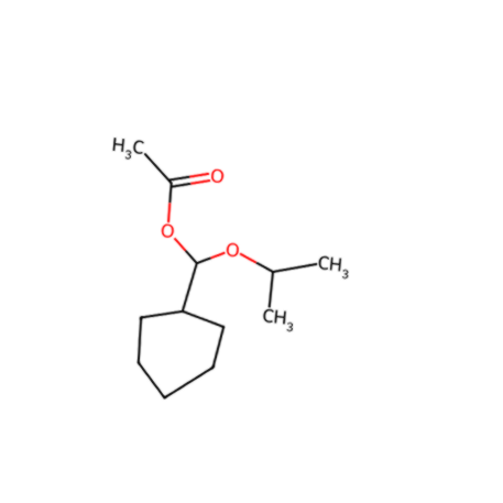 CC(=O)OC(OC(C)C)C1CCCCC1